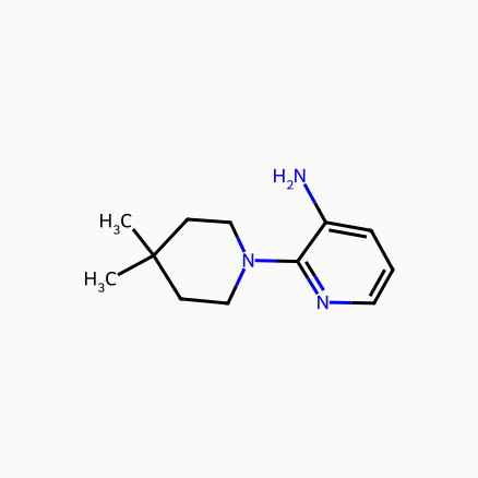 CC1(C)CCN(c2ncccc2N)CC1